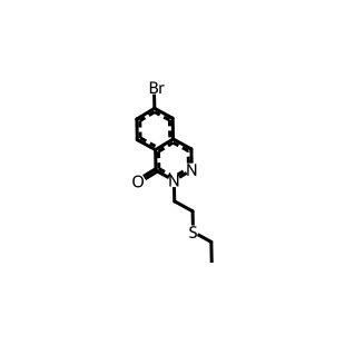 CCSCCn1ncc2cc(Br)ccc2c1=O